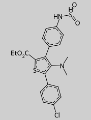 CCOC(=O)c1sc(-c2ccc(Cl)cc2)c(N(C)C)c1-c1ccc(N[SH](=O)=O)cc1